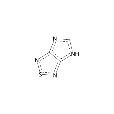 c1nc2nsnc2[nH]1